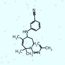 C=C(C)/N=N\N1CCC(Nc2cccc(C#N)c2)C(C)=CC1(C)C